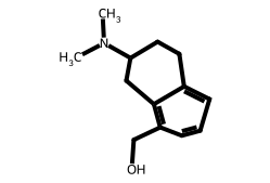 CN(C)C1CCc2cccc(CO)c2C1